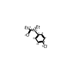 CCC(=O)N(CC)c1ccc(Cl)cc1